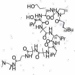 CC[C@H](C)/C=C/C(=O)N1C[C@@H](C)C[C@H]1C(=O)N[C@@H](CCCO)C(=O)N[C@H](C(=O)NC(C)(C)C(=O)N[C@@H](CC(C)C)C(=O)N[C@@H](CC(C)C)C(=O)NC(C)(C)C(=O)NC(C)(C)C(=O)NCCC(=O)N[C@@H](C)CN(C)C)[C@H](O)C(C)C